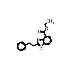 CCOC(=O)c1cccc2[nH]c(CCc3ccccc3)nc12